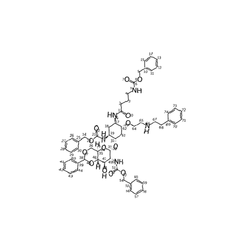 O=C(CCCNC(=O)OCc1ccccc1)N[C@@H]1C[C@H](NC(=O)OCc2ccccc2)[C@@H](O[C@H]2O[C@@H]3COC(c4ccccc4)O[C@H]3[C@H](O)[C@H]2NC(=O)OCc2ccccc2)C[C@H]1OCCNCCc1ccccc1